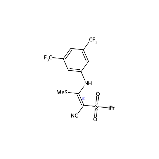 CS/C(Nc1cc(C(F)(F)F)cc(C(F)(F)F)c1)=C(\C#N)S(=O)(=O)C(C)C